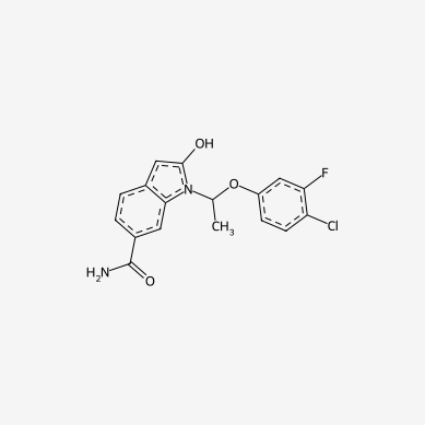 CC(Oc1ccc(Cl)c(F)c1)n1c(O)cc2ccc(C(N)=O)cc21